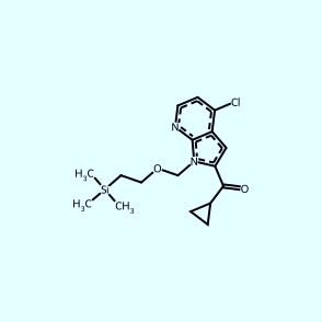 C[Si](C)(C)CCOCn1c(C(=O)C2CC2)cc2c(Cl)ccnc21